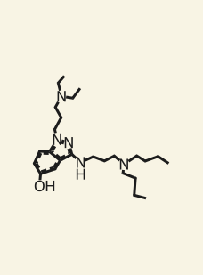 CCCCN(CCCC)CCCNc1nn(CCCN(CC)CC)c2ccc(O)cc12